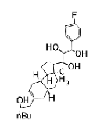 CCCC[C@H](O)CC1=CC[C@@H]2[C@H](CC[C@]3(C)[C@@H]([C@H](O)[C@@H](O)[C@H](O)c4ccc(F)cc4)CC[C@@H]23)C1